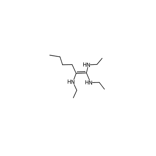 CCCCC(NCC)=C(NCC)NCC